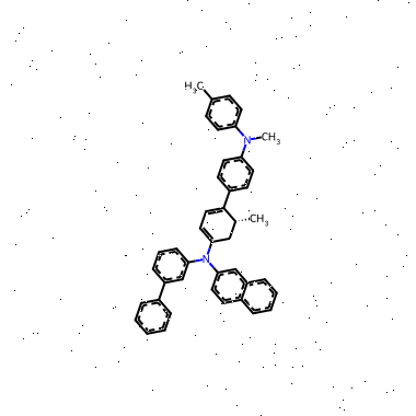 Cc1ccc(N(C)c2ccc(C3=CC=C(N(c4cccc(-c5ccccc5)c4)c4ccc5ccccc5c4)C[C@H]3C)cc2)cc1